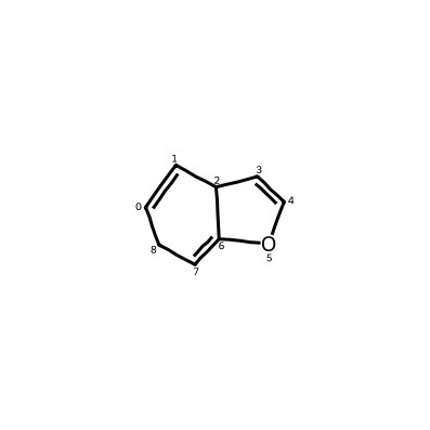 C1=CC2C=COC2=CC1